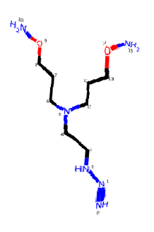 N=NNCCN(CCCON)CCCON